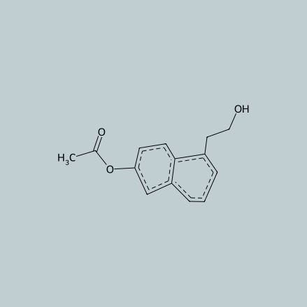 CC(=O)Oc1ccc2c(CCO)cccc2c1